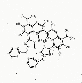 Cc1cc2c(C(C)C)c(O)c(O)c(C3N[C@@H](Cc4ccccc4)CO3)c2c(O)c1-c1c(C)cc2c(C(C)C)c(O)c(O)c(C3N[C@@H](Cc4ccccc4)CO3)c2c1O